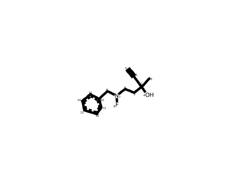 C#CC(C)(O)CCN(F)Cc1ccccc1